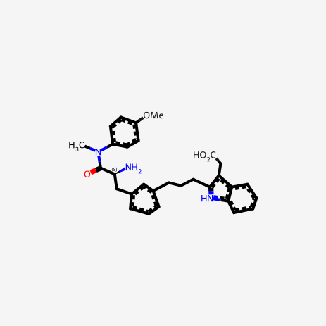 COc1ccc(N(C)C(=O)[C@@H](N)Cc2cccc(CCCc3[nH]c4ccccc4c3CC(=O)O)c2)cc1